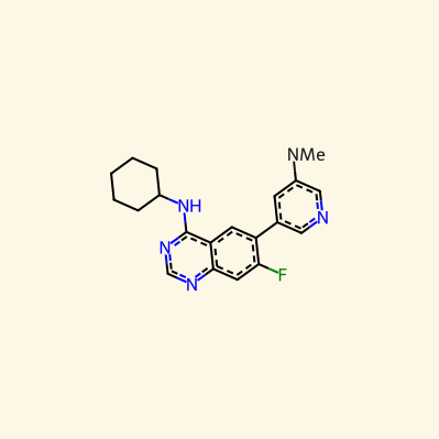 CNc1cncc(-c2cc3c(NC4CCCCC4)ncnc3cc2F)c1